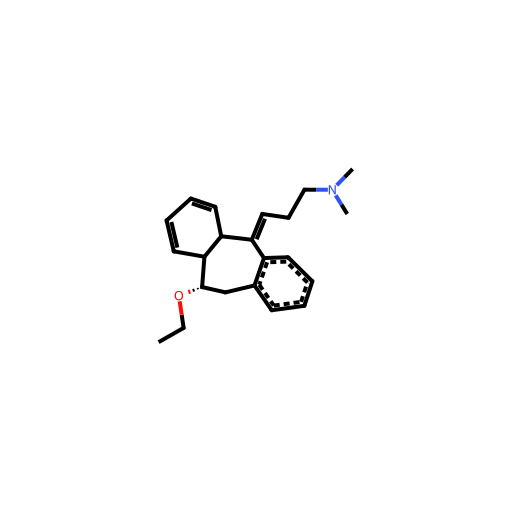 CCO[C@H]1Cc2ccccc2C(=CCCN(C)C)C2C=CC=CC21